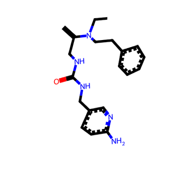 C=C(CNC(=O)NCc1ccc(N)nc1)N(CC)CCc1ccccc1